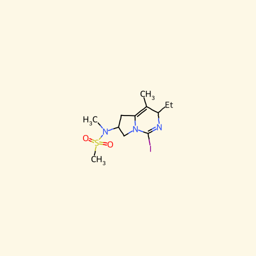 CCC1N=C(I)N2CC(N(C)S(C)(=O)=O)CC2=C1C